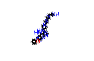 N=C(c1ccc(Oc2ccccc2)cc1)c1c(N)ncnc1NC1CCN(C2CN(C3CN(CC4CNC4)C3)C2)CC1